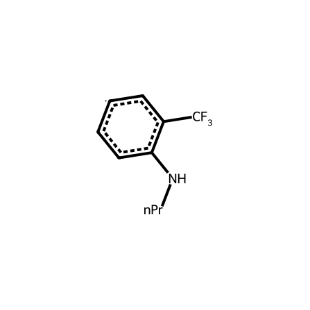 CCCNc1cc[c]cc1C(F)(F)F